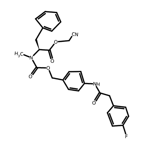 CN(C(=O)OCc1ccc(NC(=O)Cc2ccc(F)cc2)cc1)[C@@H](Cc1ccccc1)C(=O)OCC#N